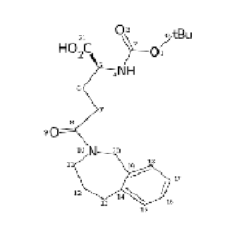 CC(C)(C)OC(=O)N[C@@H](CCC(=O)N1CCCc2ccccc2C1)C(=O)O